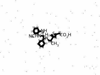 C[C@@H](CN[C@H](c1ccccc1)[C@H]1CNc2cccc(C#N)c2N1)c1csc(CC(=O)O)c1